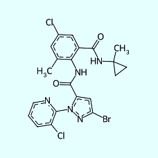 Cc1cc(Cl)cc(C(=O)NC2(C)CC2)c1NC(=O)c1cc(Br)nn1-c1ncccc1Cl